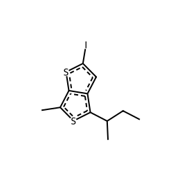 CCC(C)c1sc(C)c2sc(I)cc12